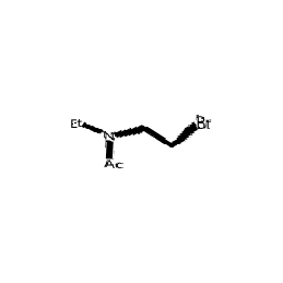 CCN(CCBr)C(C)=O